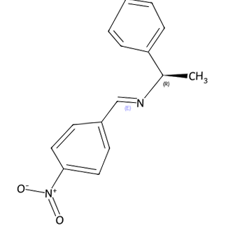 C[C@@H](/N=C/c1ccc([N+](=O)[O-])cc1)c1ccccc1